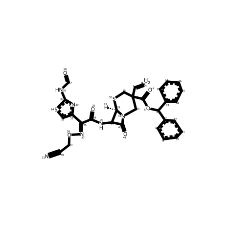 C=CC1(C(=O)OC(c2ccccc2)c2ccccc2)CS[C@@H]2C(NC(=O)C(=NOCC#N)c3csc(NC=O)n3)C(=O)N2C1